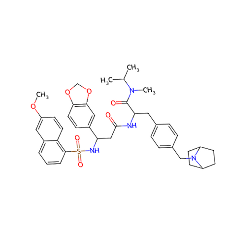 COc1ccc2c(S(=O)(=O)NC(CC(=O)NC(Cc3ccc(CN4C5CCC4CC5)cc3)C(=O)N(C)C(C)C)c3ccc4c(c3)OCO4)cccc2c1